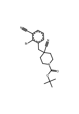 CC(C)(C)OC(=O)N1CCC(C#N)(Cc2cccc(C#N)c2Br)CC1